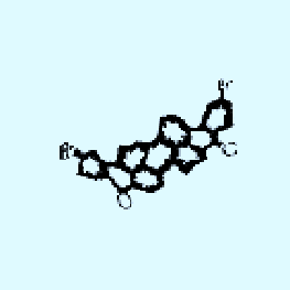 O=C1c2ccc(Br)cc2-c2ccc3c4ccc5c6c(ccc(c7ccc1c2c73)c64)C(=O)c1ccc(Br)cc1-5